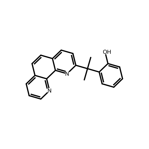 CC(C)(c1ccc2ccc3cccnc3c2n1)c1ccccc1O